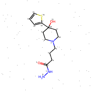 NNC(=O)CCCN1CCC(O)(c2cccs2)CC1